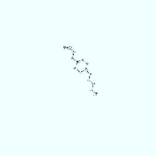 COCCN1CCN(CCCCF)CC1